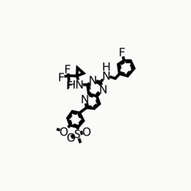 COc1ccc(-c2ccc3nc(NCc4cccc(F)c4)nc(NC4(C(F)(F)F)CC4)c3n2)cc1S(C)(=O)=O